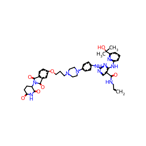 C=CCNC(=O)c1cnc(Nc2ccc(N3CCN(CCCOc4ccc5c(c4)C(=O)N(C4CCC(=O)NC4=O)C5=O)CC3)cc2)nc1Nc1cccc(C(C)(C)O)n1